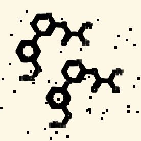 CCCCCCCCCOc1cccc(N2C=C(OC(=O)C(CC)CCC)N=CC2)c1.CCCCCCCCOc1cccc(N2C=C(OC(=O)C(CC)CCC)N=CC2)c1